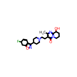 Cc1nc2n(c(=O)c1CCN1CCC(c3noc4c3C=CC(F)C4)CC1)CCCC2O